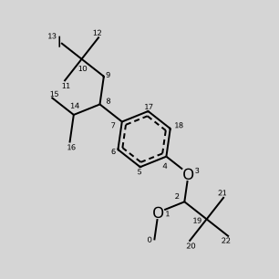 COC(Oc1ccc(C(CC(C)(C)I)C(C)C)cc1)C(C)(C)C